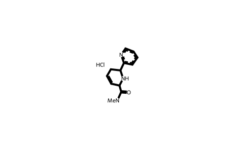 CNC(=O)C1C=CCC(c2ccccn2)N1.Cl